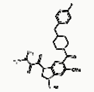 COc1cc2c(cc1C(=O)N1CCC(Cc3ccc(F)cc3)CC1)C(C(=O)C(=O)N(C)C)CN2NC(C)=O